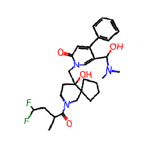 CC(CC(F)F)C(=O)N1CCC(O)(Cn2cc(C(O)N(C)C)c(-c3ccccc3)cc2=O)C2(CCCC2)C1